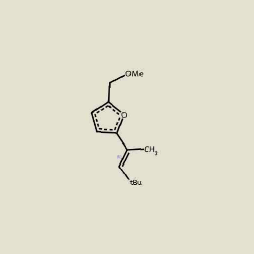 COCc1ccc(/C(C)=C/C(C)(C)C)o1